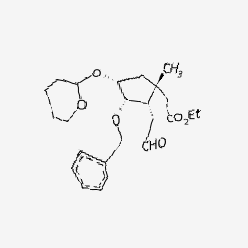 CCOC(=O)C[C@@]1(C)C[C@@H](OC2CCCCO2)[C@@H](OCc2ccccc2)[C@H]1CC=O